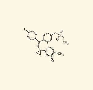 CCS(=O)(=O)Cc1ccc2c(c1)-c1cn(C)c(=O)cc1C1(CC1)N=C2c1ccc(F)cc1